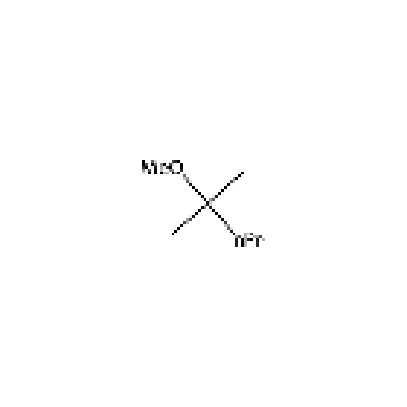 CC[CH]C(C)(C)OC